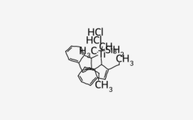 CCC1=Cc2ccccc2[CH]1[Ti]([CH3])([CH3])(=[SiH2])[CH]1C(CC)=Cc2ccccc21.Cl.Cl